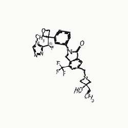 C=CC1(O)CN(Cc2cc3c(c(C(F)(F)F)c2)CN(c2cccc(C4([C@@H](F)c5nncn5C)COC4)c2)C3=O)C1